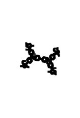 Cc1cc(C)c(-c2ccc(N(c3ccc(-c4ccc(N(c5ccc(-c6sc(C)cc6C)cc5)c5ccc(-c6sc(C)cc6C)cc5)cc4)cc3)c3ccc(-c4sc(C)cc4C)cc3)cc2)s1